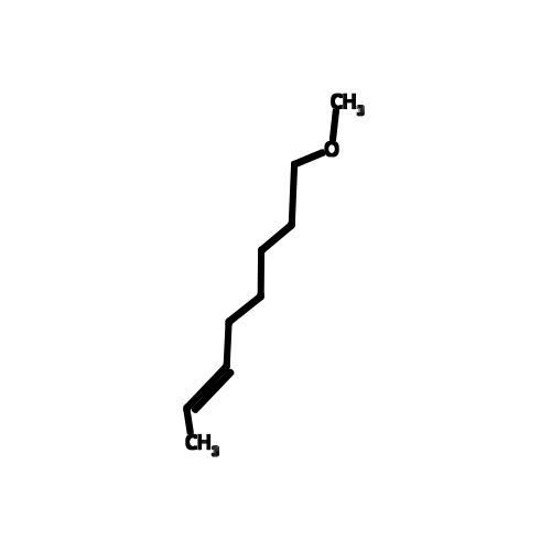 CC=CCCCCCOC